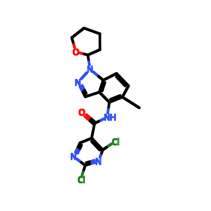 Cc1ccc2c(cnn2C2CCCCO2)c1NC(=O)c1cnc(Cl)nc1Cl